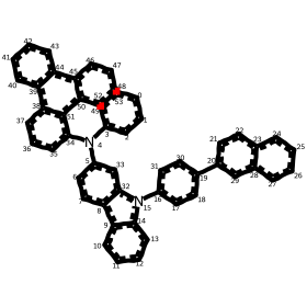 c1ccc(N(c2ccc3c4ccccc4n(-c4ccc(-c5ccc6ccccc6c5)cc4)c3c2)c2cccc3c4ccccc4c4ccccc4c23)cc1